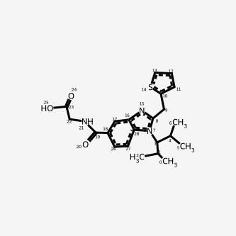 CC(C)C(C(C)C)n1c(Cc2cccs2)nc2cc(C(=O)NCC(=O)O)ccc21